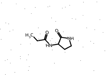 CCC(=O)NC1CCNC1=O